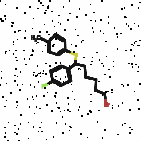 Cc1ccc(SC(CCCCCBr)c2ccc(F)cc2)cc1